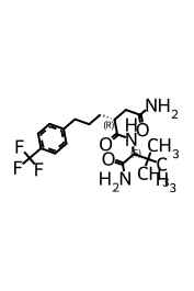 CC(C)(C)[C@H](NC(=O)[C@H](CCCc1ccc(C(F)(F)F)cc1)CC(N)=O)C(N)=O